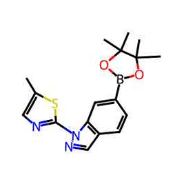 Cc1cnc(-n2ncc3ccc(B4OC(C)(C)C(C)(C)O4)cc32)s1